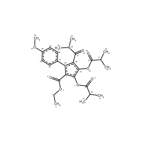 CCOC(=O)c1c(OC(=O)C(C)C)c(OC(=O)C(C)C)c(C(=O)N(C)C)n1-c1ccc(OC)cc1